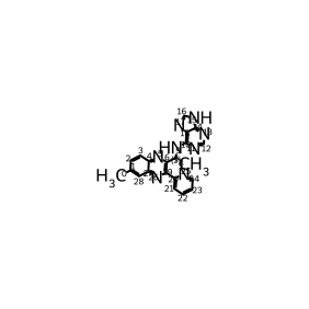 Cc1ccc2nc([C@H](C)Nc3ncnc4[nH]cnc34)c(-c3ccccn3)nc2c1